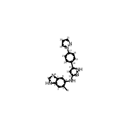 Cc1cc2[nH]cnc2cc1Nc1cc(-c2ccc(-n3cccn3)cc2)[nH]n1